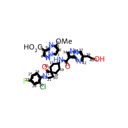 COc1ccn2ncc(C(=O)O)c2n1.O=C(NC1CCC2(CC1)CCN(c1ccc(F)cc1Cl)C2=O)c1cnn2cc(CCO)cnc12